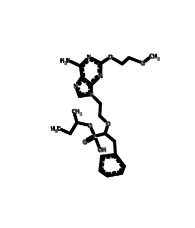 CCC(C)OP(=O)(O)C(Cc1ccccc1)OCCn1cnc2c(N)nc(OCCOC)nc21